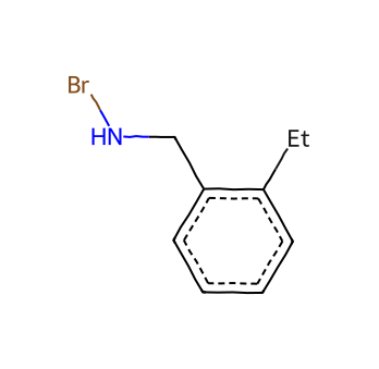 CCc1ccccc1CNBr